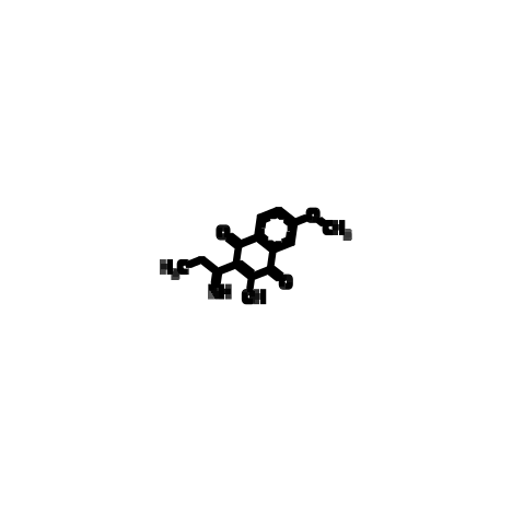 CCC(=N)C1=C(O)C(=O)c2cc(OC)ccc2C1=O